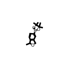 CC1OCc2cc(B3OC(C)(C)C(C)(C)O3)ccc21